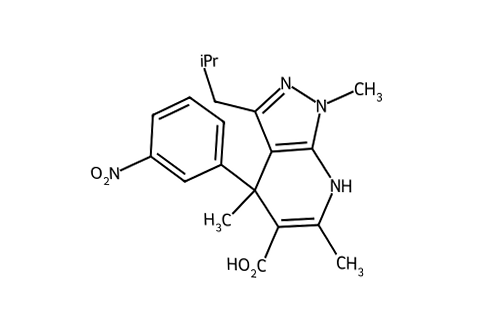 CC1=C(C(=O)O)C(C)(c2cccc([N+](=O)[O-])c2)c2c(CC(C)C)nn(C)c2N1